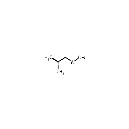 CC(C)[CH2][Al][OH]